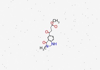 COC(=O)CCC(=O)c1ccc2c(c1)C(=O)N(C)CN2